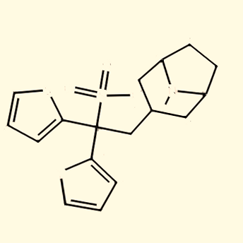 CN1C2CCC1CC(CC(c1cccs1)(c1cccs1)S(=O)(=O)Cl)C2